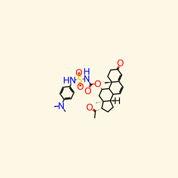 CC(=O)[C@H]1CC[C@H]2C3C=CC4=CC(=O)CC[C@@]4(C)C3[C@@H](OC(=O)NS(=O)(=O)Nc3ccc(N(C)C)cc3)C[C@]12C